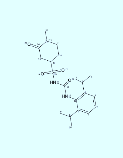 CC(C)c1cccc(C(C)C)c1NC(=O)NS(=O)(=O)C1CCN(C)C(=O)C1